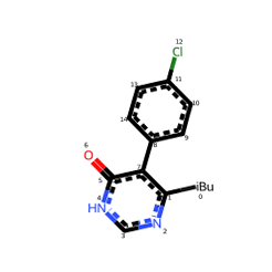 CCC(C)c1nc[nH]c(=O)c1-c1ccc(Cl)cc1